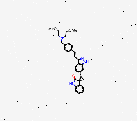 COCCN(CCOC)Cc1ccc(/C=C/c2n[nH]c3cc([C@@H]4C[C@@]45C(=O)Nc4ccccc45)ccc23)cc1